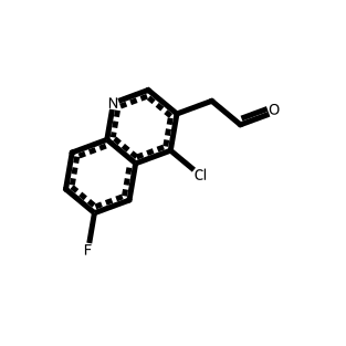 O=CCc1cnc2ccc(F)cc2c1Cl